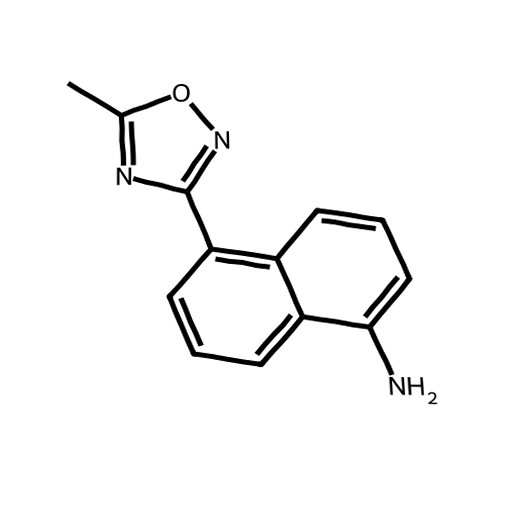 Cc1nc(-c2cccc3c(N)cccc23)no1